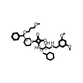 COCCCOC(c1ccccc1)[C@@H]1CCCN(c2c(N[C@@H](CC3CCCCC3)[C@@H](O)CNCc3cc(OC)cc(OC)c3)c(=O)c2=O)C1